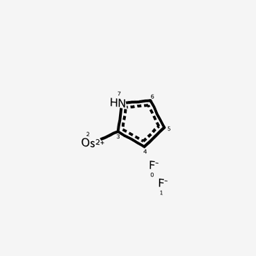 [F-].[F-].[Os+2][c]1ccc[nH]1